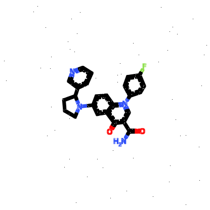 NC(=O)c1cn(-c2ccc(F)cc2)c2ccc(N3CCCC3c3cccnc3)cc2c1=O